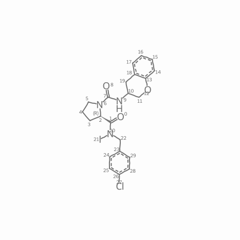 O=C([C@H]1CCCN1C(=O)NC1COc2ccccc2C1)N(I)Cc1ccc(Cl)cc1